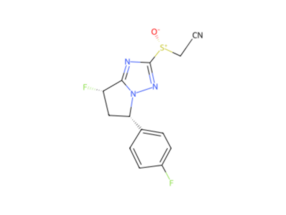 N#CC[S@@+]([O-])c1nc2n(n1)[C@H](c1ccc(F)cc1)C[C@@H]2F